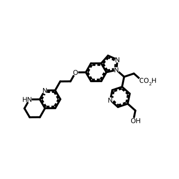 O=C(O)CC(c1cncc(CO)c1)n1ncc2cc(OCCc3ccc4c(n3)NCCC4)ccc21